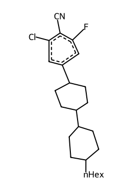 CCCCCCC1CCC(C2CCC(c3cc(F)c(C#N)c(Cl)c3)CC2)CC1